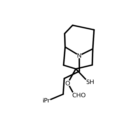 CC(C)CCCN1C2CCCC1CC(S)(OC=O)C2